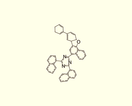 C1=CC(C2=CC3c4cc(-c5nc(-c6cccc7ccccc67)nc(-c6cccc7ccccc67)n5)c5ccccc5c4OC3C=C2)=CCC1